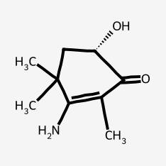 CC1=C(N)C(C)(C)C[C@H](O)C1=O